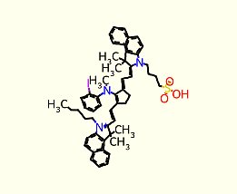 CCCCC[N+]1=C(/C=C/C2=C(N(C)c3ccccc3I)C(=C/C=C3/N(CCCCS(=O)(=O)O)c4ccc5ccccc5c4C3(C)C)/CC2)C(C)(C)c2c1ccc1ccccc21